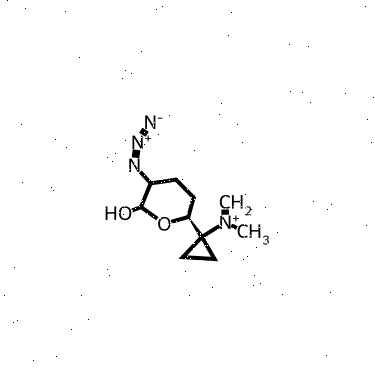 C=[N+](C)C1([C@@H]2CCC(N=[N+]=[N-])C(O)O2)CC1